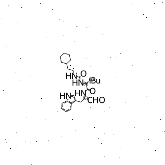 CC[C@H](C)[C@H](NC(=O)NCCC1CCCCC1)C(=O)N[C@H](C=O)Cc1c[nH]c2ccccc12